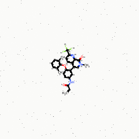 C=CC(=O)Nc1ccc(Oc2c(C)cccc2C)c(-c2cn(C)c(=O)c3nc(C(F)(F)F)ccc23)c1